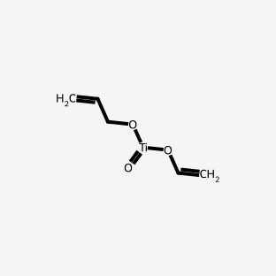 C=CC[O][Ti](=[O])[O]C=C